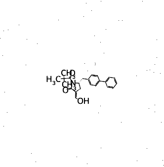 CC(C)(C)C(=O)N1C(=O)C(=CO)C[C@H]1Cc1ccc(-c2ccccc2)cc1